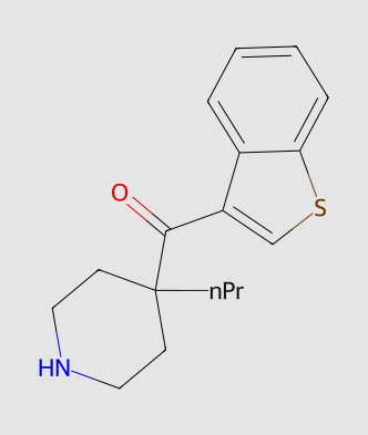 CCCC1(C(=O)c2csc3ccccc23)CCNCC1